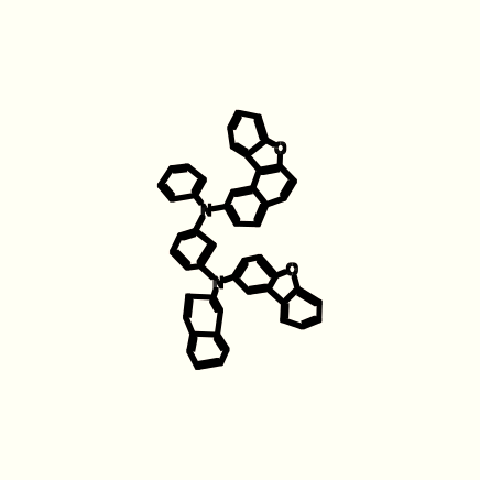 c1ccc(N(c2cccc(N(c3ccc4ccccc4c3)c3ccc4oc5ccccc5c4c3)c2)c2ccc3ccc4oc5ccccc5c4c3c2)cc1